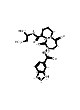 O=CC(CC(=O)O)NC(=O)C1CCCN2C(=O)CCN(NC(=O)c3ccc4nn[nH]c4c3)C(=O)N12